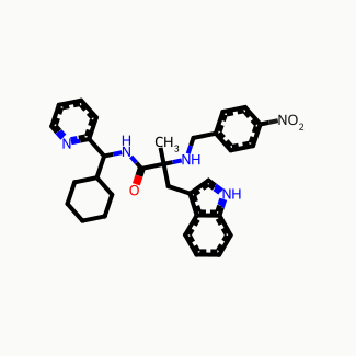 CC(Cc1c[nH]c2ccccc12)(NCc1ccc([N+](=O)[O-])cc1)C(=O)NC(c1ccccn1)C1CCCCC1